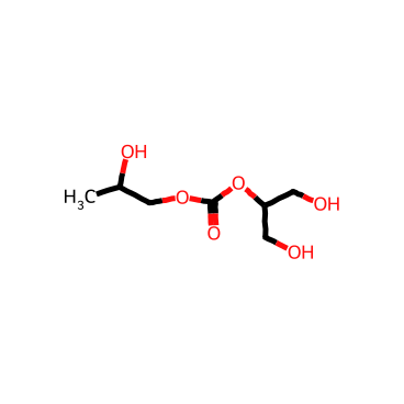 CC(O)COC(=O)OC(CO)CO